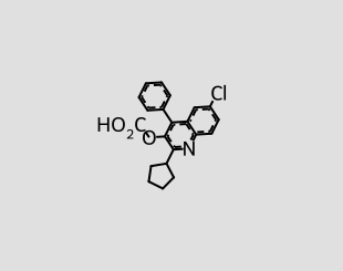 O=C(O)Oc1c(C2CCCC2)nc2ccc(Cl)cc2c1-c1ccccc1